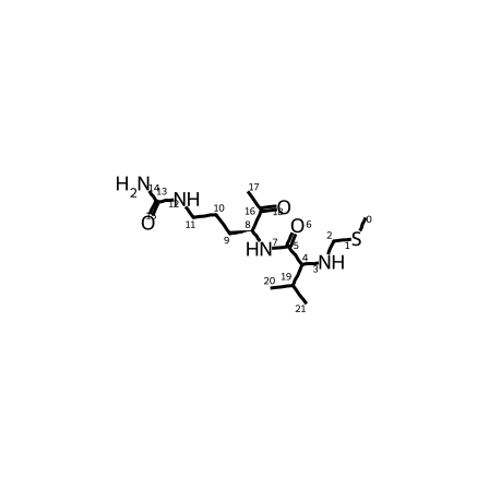 CSCNC(C(=O)N[C@@H](CCCNC(N)=O)C(C)=O)C(C)C